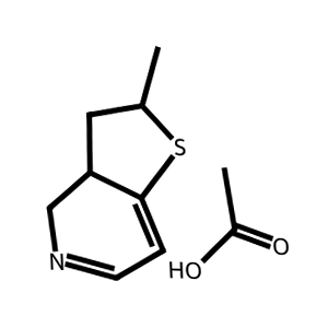 CC(=O)O.CC1CC2CN=CC=C2S1